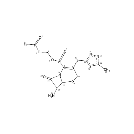 CCC(=O)OCOC(=O)C1=C(Sc2nnc(C)s2)CSC2C(N)C(=O)N12